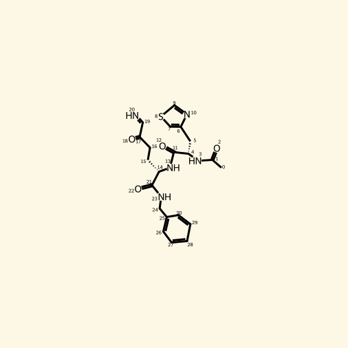 CC(=O)N[C@@H](Cc1cscn1)C(=O)N[C@@H](CCC(=O)C=N)C(=O)NCc1ccccc1